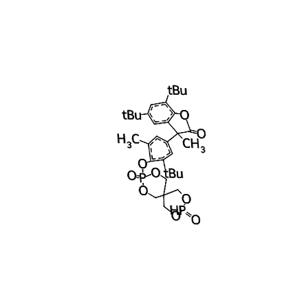 Cc1cc(C2(C)C(=O)Oc3c(C(C)(C)C)cc(C(C)(C)C)cc32)cc(C(C)(C)C)c1OP1(=O)OCC2(CO[PH](=O)OC2)CO1